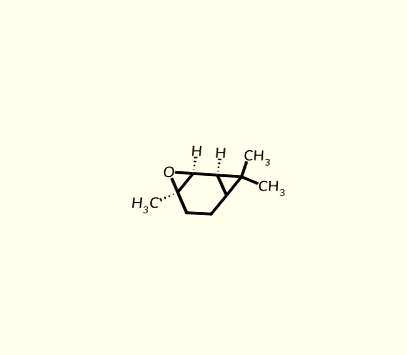 CC1(C)C2CC[C@@]3(C)O[C@H]3[C@H]21